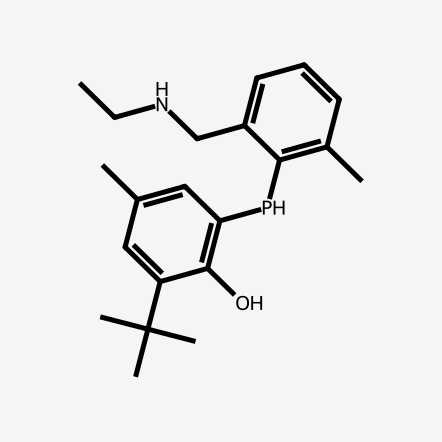 CCNCc1cccc(C)c1Pc1cc(C)cc(C(C)(C)C)c1O